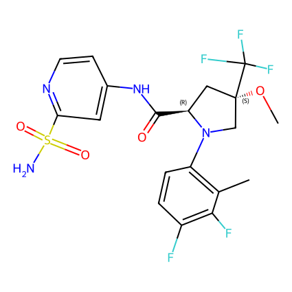 CO[C@@]1(C(F)(F)F)C[C@H](C(=O)Nc2ccnc(S(N)(=O)=O)c2)N(c2ccc(F)c(F)c2C)C1